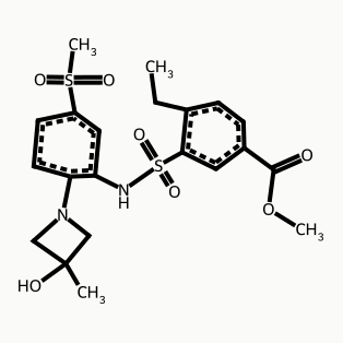 CCc1ccc(C(=O)OC)cc1S(=O)(=O)Nc1cc(S(C)(=O)=O)ccc1N1CC(C)(O)C1